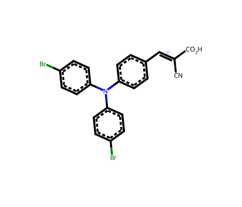 N#C/C(=C\c1ccc(N(c2ccc(Br)cc2)c2ccc(Br)cc2)cc1)C(=O)O